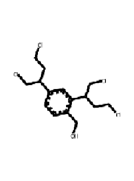 OCc1ccc(C(CCl)CCCl)cc1C(CCl)CCCl